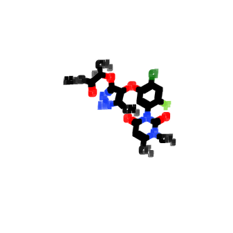 COC(=O)[C@@H](C)Oc1n[nH]c(C)c1Oc1cc(-n2c(=O)cc(C(F)(F)F)n(C)c2=O)c(F)cc1Cl